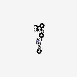 CC=C(C(=O)OC)c1ccccc1COc1ccc(O/C(C)=N\OCCN2CCCCC2)cc1